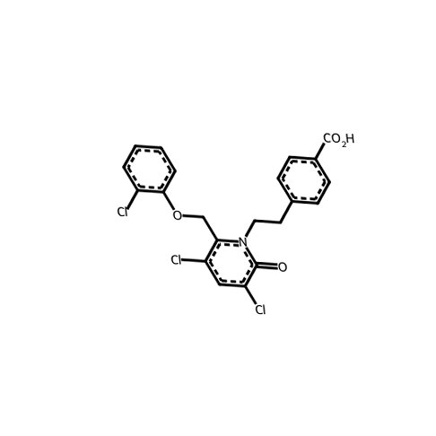 O=C(O)c1ccc(CCn2c(COc3ccccc3Cl)c(Cl)cc(Cl)c2=O)cc1